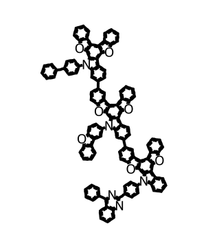 c1ccc(-c2ccc(-n3c4cc(-c5ccc6oc7c(c6c5)c5c6ccccc6oc5c5c6ccc(-c8ccc9oc%10c(c9c8)c8c9ccccc9oc8c8c9ccccc9n(-c9ccc(-c%11nc(-c%12ccccc%12)c%12ccccc%12n%11)cc9)c%108)cc6n(-c6ccc8oc9ccccc9c8c6)c75)ccc4c4c5oc6ccccc6c5c5c6ccccc6oc5c43)cc2)cc1